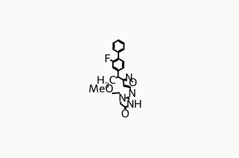 COCCN1CC(=O)NC1=Nc1cc(C(C)c2ccc(-c3ccccc3)c(F)c2)no1